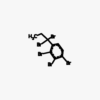 CCC(Br)(Br)c1ccc(Br)c(Br)c1Br